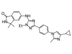 CCn1nc(-c2ccc(-n3cc(C4CC4)nc3C)cc2)nc1Nc1ccc2c(c1)C(C)(C)NC2=O